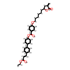 C=C1CC(CCCCCCOc2ccc(C(=O)Oc3ccc(-c4ccc(/C=C/C(=O)OCC)cc4)cc3)cc2)OC1=O